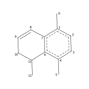 Cc1ccc(C)c2c1C=CCC2C